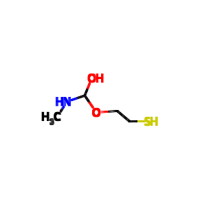 CNC(O)OCCS